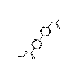 CCOC(=O)c1ccc(-c2ccc(CC(C)=O)cc2)cc1